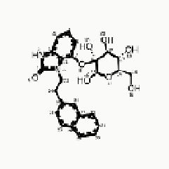 O=c1[nH]c2cccc(O[C@]3(O)[C@H](O)O[C@H](CO)[C@@H](O)[C@@H]3O)c2n1CCc1ccc2ccccc2c1